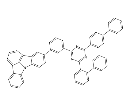 c1ccc(-c2ccc(-c3nc(-c4cccc(-c5ccc6c(c5)c5cccc7c8ccccc8n6c75)c4)nc(-c4ccccc4-c4ccccc4)n3)cc2)cc1